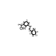 CC(O)c1cccc(CSc2ccccn2)c1